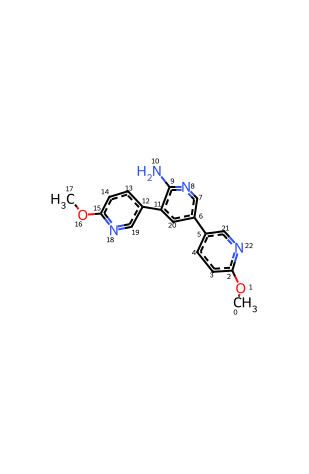 COc1ccc(-c2cnc(N)c(-c3ccc(OC)nc3)c2)cn1